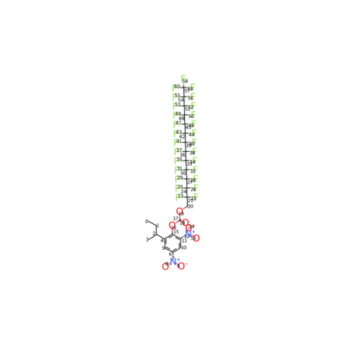 CCC(C)c1cc([N+](=O)[O-])cc([N+](=O)[O-])c1OC(=O)OCC(F)(F)C(F)(F)C(F)(F)C(F)(F)C(F)(F)C(F)(F)C(F)(F)C(F)(F)C(F)(F)C(F)(F)C(F)(F)C(F)(F)C(F)(F)F